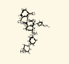 Cn1ccc(-c2nn(-c3c(Cl)cccc3Cl)c(=O)c3cnc(Nc4ccc(N5CCNCC5)cc4)nc23)n1